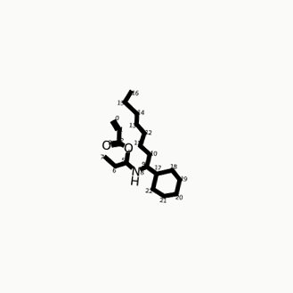 C=CC(=O)OC(CC)NC(CCCCCCC)C1CCCCC1